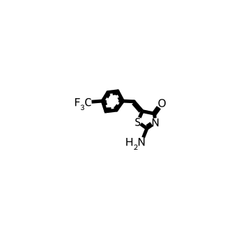 NC1=NC(=O)C(=Cc2ccc(C(F)(F)F)cc2)S1